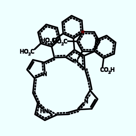 O=C(O)c1ccccc1-c1c(-c2ccccc2C(=O)O)c2c(-c3ccccc3C(=O)O)c3nc(cc4ccc(cc5nc(cc1n2-c1ccccc1C(=O)O)C=C5)[nH]4)C=C3